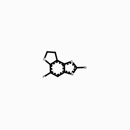 Fc1cc2nc(Br)sc2c2c1OCC2